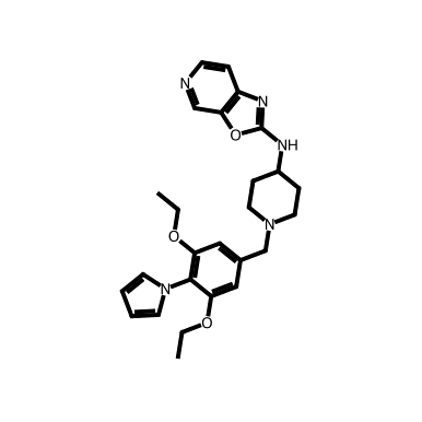 CCOc1cc(CN2CCC(Nc3nc4ccncc4o3)CC2)cc(OCC)c1-n1cccc1